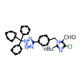 CCCCc1nc(Cl)c(C=O)n1Cc1ccc(-c2nnn(C(c3ccccc3)(c3ccccc3)c3ccccc3)n2)cc1